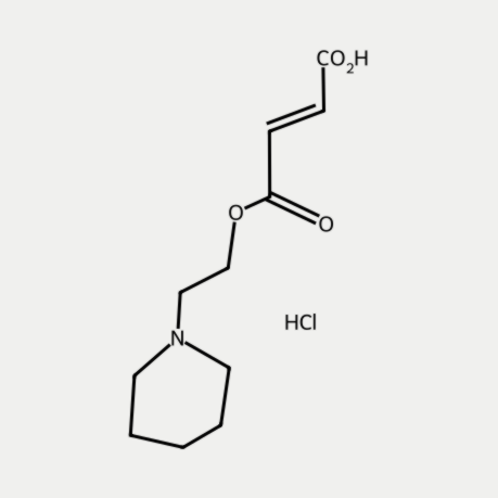 Cl.O=C(O)C=CC(=O)OCCN1CCCCC1